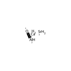 [CaH2].[O]=[AlH].[SrH2]